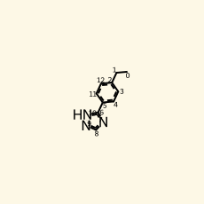 CCc1ccc(-c2ncn[nH]2)cc1